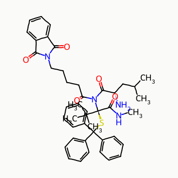 CNC(=O)[C@@](SC(c1ccccc1)(c1ccccc1)c1ccccc1)(N(C(=O)CCCCN1C(=O)c2ccccc2C1=O)C(=O)[C@@H](N)CC(C)C)C(C)(C)C